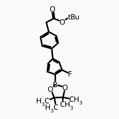 CC(C)(C)OC(=O)Cc1ccc(-c2ccc(B3OC(C)(C)C(C)(C)O3)c(F)c2)cc1